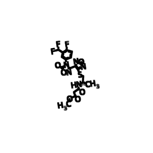 COC(=O)CC(=O)N[C@H](C)CSc1nonc1-c1noc(=O)n1-c1ccc(F)c(C(F)F)c1